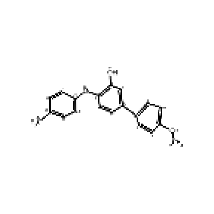 Oc1cc(-c2ccc(OC(F)(F)F)cc2)ccc1Oc1ccc(C(F)(F)F)cc1